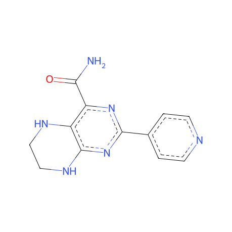 NC(=O)c1nc(-c2ccncc2)nc2c1NCCN2